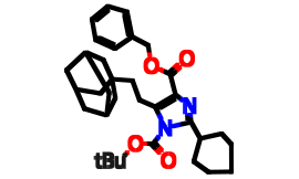 CC(C)(C)OC(=O)n1c(C2CCCCC2)nc(C(=O)OCc2ccccc2)c1CCC12CC3CC(CC(C3)C1)C2